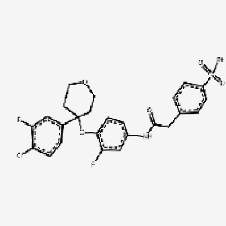 CCS(=O)(=O)c1ccc(CC(=O)Nc2ccc(OC3(c4ccc(Cl)c(F)c4)CCOCC3)c(F)c2)cc1